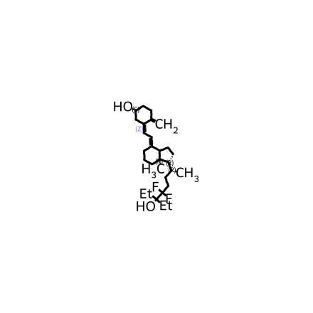 C=C1CC[C@H](O)C/C1=C/C=C1CCC[C@@]2(C)C1CC[C@@H]2[C@H](C)CCC(F)(F)C(O)(CC)CC